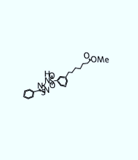 COC(=O)CCCCCCc1cccc(S(=O)(=O)Nc2nsc(-c3ccccc3)n2)c1